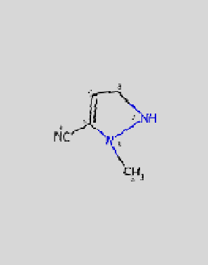 CN1NC[C]=C1C#N